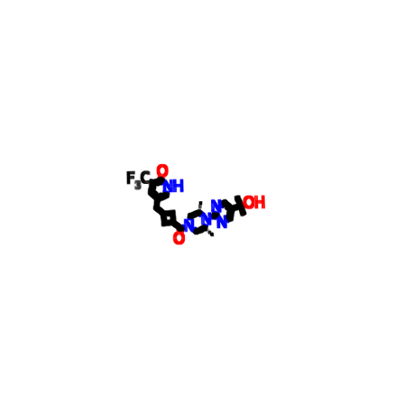 C[C@@H]1CN(C(=O)C2CC(Cc3c[nH]c(=O)c(C(F)(F)F)c3)C2)C[C@H](C)N1c1ncc(C(C)(C)O)cn1